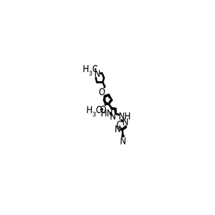 COc1cc(OCC2CCN(C)CC2)ccc1-c1cc(Nc2cnc(C#N)cn2)n[nH]1